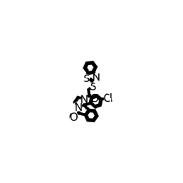 O=C(CSc1nc2ccccc2s1)N1CCN2C(=O)c3ccccc3C12c1ccc(Cl)cc1